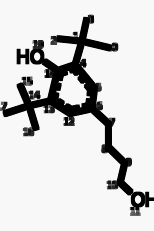 CC(C)(C)c1cc(CCCCO)cc(C(C)(C)C)c1O